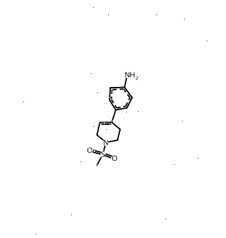 CS(=O)(=O)N1CC=C(c2ccc(N)cc2)CC1